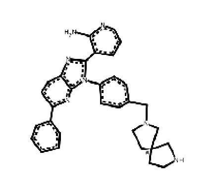 Nc1ncccc1-c1nc2ccc(-c3ccccc3)nc2n1-c1ccc(CN2CC[C@@]3(CCNC3)C2)cc1